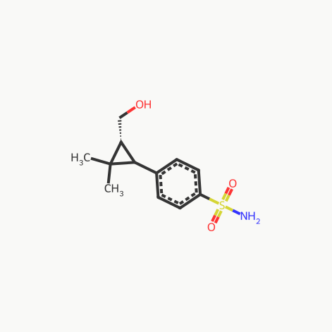 CC1(C)C(c2ccc(S(N)(=O)=O)cc2)[C@H]1CO